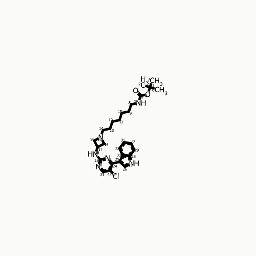 CC(C)(C)OC(=O)NCCCCCCCN1CC(Nc2ncc(Cl)c(-c3c[nH]c4ccccc34)n2)C1